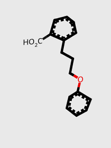 O=C(O)c1ccccc1CCCOc1ccccc1